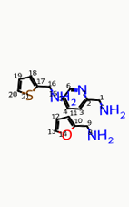 NCc1ccccn1.NCc1ccco1.NCc1cccs1